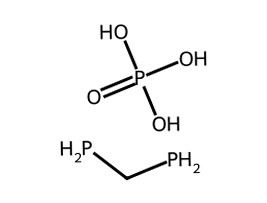 O=P(O)(O)O.PCP